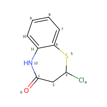 O=C1CC(Cl)Sc2ccccc2N1